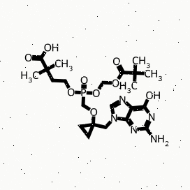 CC(C)(C)C(=O)OCOP(=O)(COC1(Cn2cnc3c(O)nc(N)nc32)CC1)OCCC(C)(C)C(=O)O